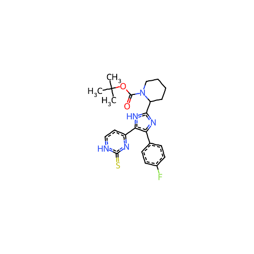 CC(C)(C)OC(=O)N1CCCCC1c1nc(-c2ccc(F)cc2)c(-c2cc[nH]c(=S)n2)[nH]1